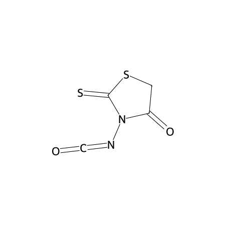 O=C=NN1C(=O)CSC1=S